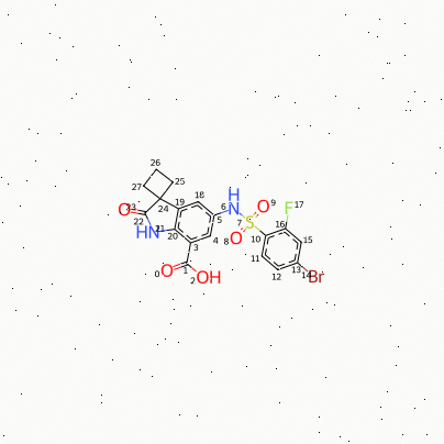 O=C(O)c1cc(NS(=O)(=O)c2ccc(Br)cc2F)cc2c1NC(=O)C21CCC1